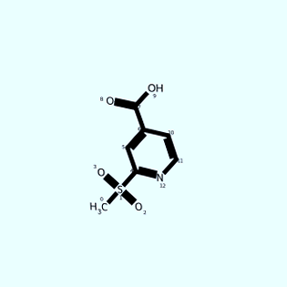 CS(=O)(=O)c1cc(C(=O)O)ccn1